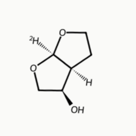 [2H][C@]12OCC[C@H]1[C@@H](O)CO2